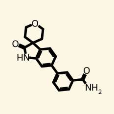 NC(=O)c1cccc(-c2ccc3c(c2)NC(=O)C32CCOCC2)c1